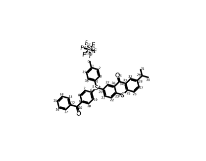 Cc1ccc([S+](c2ccc(C(=O)c3ccccc3)cc2)c2ccc3sc4ccc(C(C)C)cc4c(=O)c3c2)cc1.F[P-](F)(F)(F)(F)F